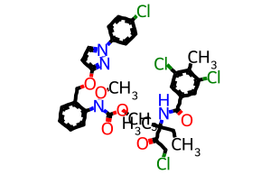 CCC(C)(NC(=O)c1cc(Cl)c(C)c(Cl)c1)C(=O)CCl.COC(=O)N(OC)c1ccccc1COc1ccn(-c2ccc(Cl)cc2)n1